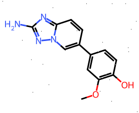 COc1cc(-c2ccc3nc(N)nn3c2)ccc1O